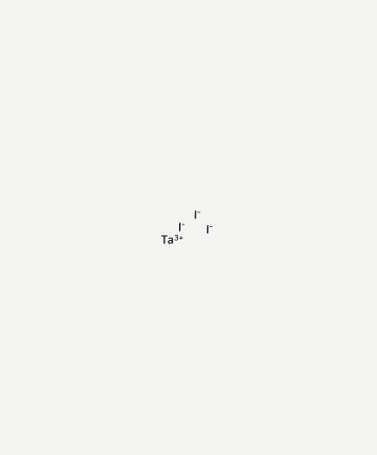 [I-].[I-].[I-].[Ta+3]